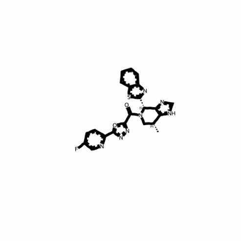 C[C@@H]1CN(C(=O)c2nnc(-c3ccc(F)cn3)o2)[C@H](c2nc3ccccc3s2)c2nc[nH]c21